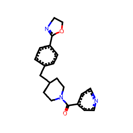 O=C(c1ccncc1)N1CCC(Cc2ccc(C3=NCCO3)cc2)CC1